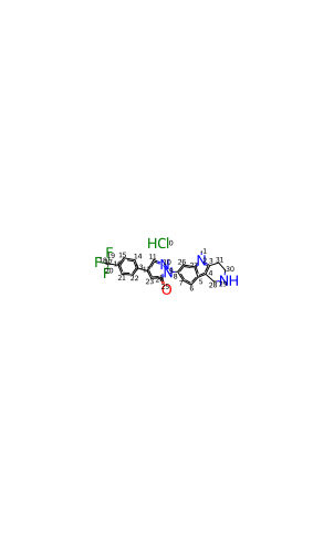 Cl.Cn1c2c(c3ccc(-n4ncc(-c5ccc(C(F)(F)F)cc5)cc4=O)cc31)CNCC2